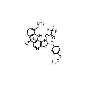 CCc1ccccc1Nc1c(C(N)=O)cnc2c1N(OC(=O)C(F)(F)F)C(Oc1ccc(OC)cc1)S2